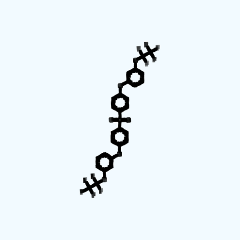 O=S(=O)(c1ccc(Oc2cccc(OC(F)(F)C(F)(F)F)c2)cc1)c1ccc(Oc2cccc(OC(F)(F)C(F)(F)F)c2)cc1